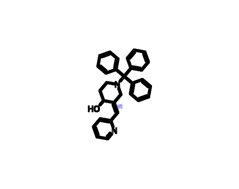 OC1CCN(C(c2ccccc2)(c2ccccc2)c2ccccc2)C/C1=C/c1ccccn1